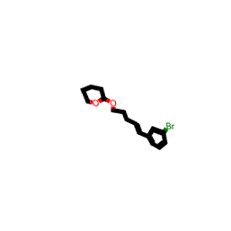 Brc1cccc(C=CCCCOC2CCCCO2)c1